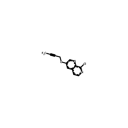 FC(F)(F)C#CCOc1cnc2c(Cl)nccc2c1